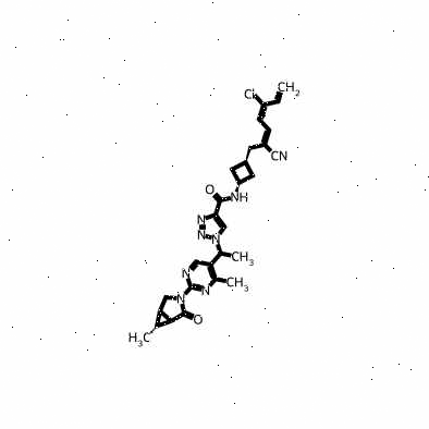 C=C/C(Cl)=C\C=C(\C#N)C[C@H]1C[C@@H](NC(=O)c2cn(C(C)c3cnc(N4CC5C(C4=O)[C@@H]5C)nc3C)nn2)C1